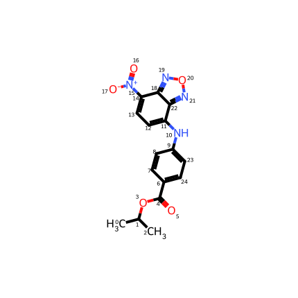 CC(C)OC(=O)c1ccc(Nc2ccc([N+](=O)[O-])c3nonc23)cc1